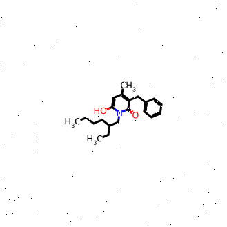 CCCCC(CC)Cn1c(O)cc(C)c(Cc2ccccc2)c1=O